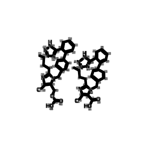 CCCCc1nc(Cl)c(C(=O)O)n1Cc1ccc(-c2ccccc2-c2nnn[nH]2)cc1.CCCCc1nc(Cl)c(COC(=O)O)n1Cc1ccc(-c2ccccc2-c2nnn[nH]2)cc1